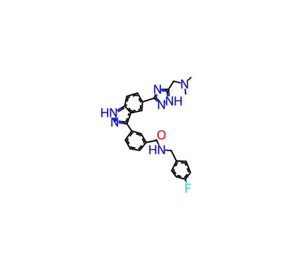 CN(C)Cc1nc(-c2ccc3[nH]nc(-c4cccc(C(=O)NCc5ccc(F)cc5)c4)c3c2)n[nH]1